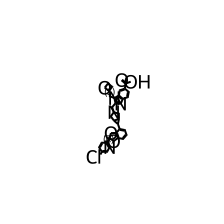 C[C@@]1(c2ccc(Cl)cn2)Oc2cccc(C3C4CN(Cc5nc6ccc(C(=O)O)cc6n5C[C@@H]5CCO5)CC43)c2O1